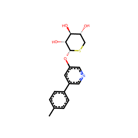 Cc1ccc(-c2cncc(O[C@H]3SC[C@@H](O)[C@H](O)[C@H]3O)c2)cc1